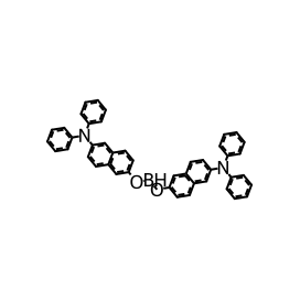 B(Oc1ccc2cc(N(c3ccccc3)c3ccccc3)ccc2c1)Oc1ccc2cc(N(c3ccccc3)c3ccccc3)ccc2c1